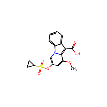 COc1cc(OS(=O)(=O)C2CC2)cn2c1c(C(=O)O)c1ccccc12